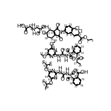 CCOC(=O)/C(Cl)=C/c1cc(N2C(=O)C3=C(CCCC3)C2=O)ccc1Cl.CCS(=O)(=O)c1cccnc1S(=O)(=O)NC(=O)Nc1nc(OC)cc(OC)n1.O=C(Nc1nc(OC(F)F)cc(OC(F)F)n1)NS(=O)(=O)c1ccccc1C(=O)O.O=C(O)CNCP(=O)(O)O